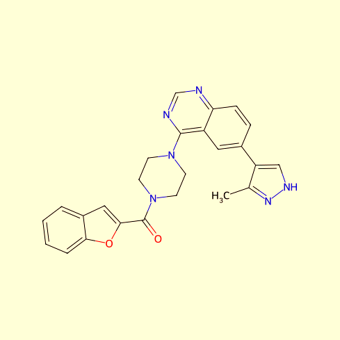 Cc1n[nH]cc1-c1ccc2ncnc(N3CCN(C(=O)c4cc5ccccc5o4)CC3)c2c1